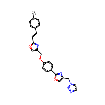 FC(F)(F)c1ccc(C=Cc2nc(COc3ccc(-c4nc(Cn5ccnn5)co4)cc3)co2)cc1